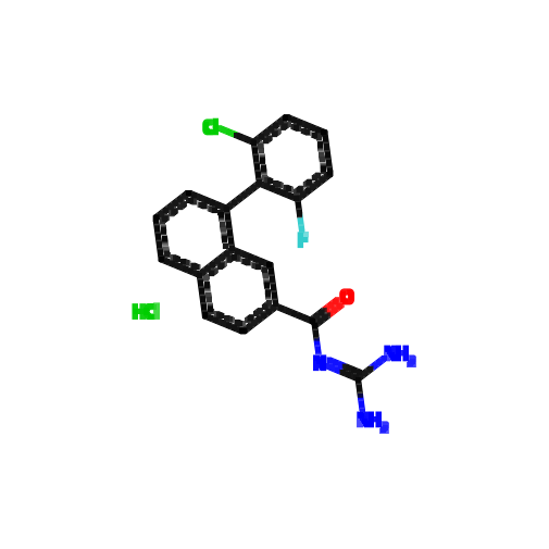 Cl.NC(N)=NC(=O)c1ccc2cccc(-c3c(F)cccc3Cl)c2c1